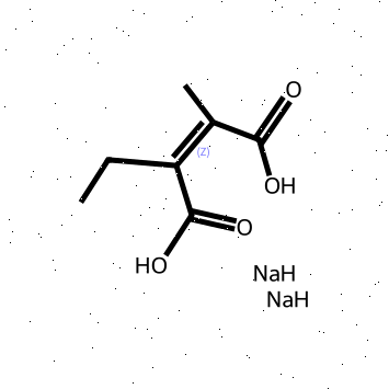 CC/C(C(=O)O)=C(\C)C(=O)O.[NaH].[NaH]